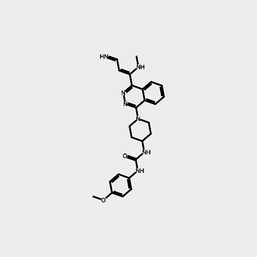 CN/C(=C\C=N)c1nnc(N2CCC(NC(=O)Nc3ccc(OC)cc3)CC2)c2ccccc12